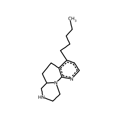 CCCCCc1ccnc2c1CCC1CNCCN21